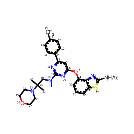 CC(=O)Nc1nc2c(Oc3cc(-c4ccc(C(F)(F)F)cc4)nc(NCC(C)(C)N4CCOCC4)n3)cccc2s1